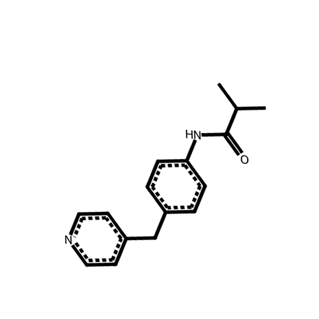 CC(C)C(=O)Nc1ccc(Cc2ccncc2)cc1